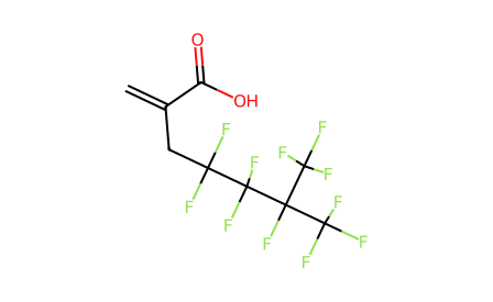 C=C(CC(F)(F)C(F)(F)C(F)(C(F)(F)F)C(F)(F)F)C(=O)O